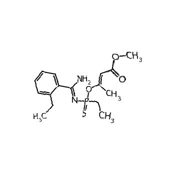 CCc1ccccc1C(N)=NP(=S)(CC)OC(C)=CC(=O)OC